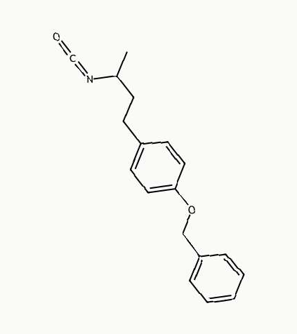 CC(CCc1ccc(OCc2ccccc2)cc1)N=C=O